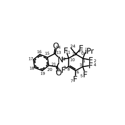 CC(C)C1(F)C(F)(F)C(F)=C(F)C(F)(N2C(=O)c3ccccc3C2=O)C1(C)F